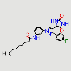 CCCCCCCC(=O)Nc1cccc(-n2cc(C3NC(=O)NC3=O)c(-c3ccc(F)cc3)n2)c1